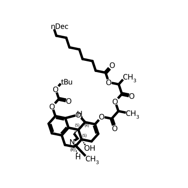 CCCCCCCCCCCCCCCCCC(=O)OC(C)C(=O)OC(C)C(=O)OC1=CC[C@@]2(O)[C@H]3Cc4ccc(OC(=O)OC(C)(C)C)c5c4[C@@]2(CCN3C)[C@H]1O5